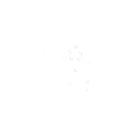 CCCCOc1nc(N)c2nc(OC)n(CCN(CCOC)Cc3cccc(CC(=O)O)c3)c2n1